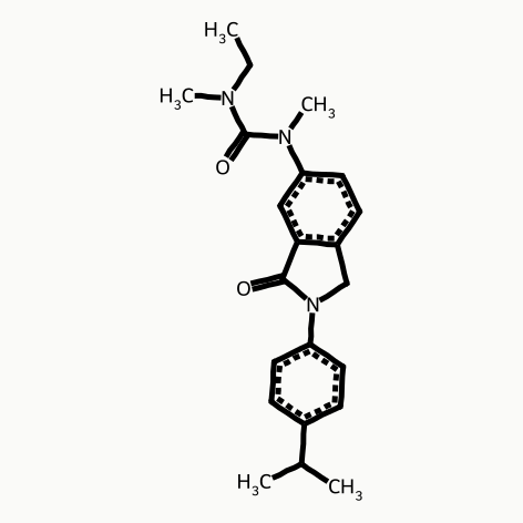 CCN(C)C(=O)N(C)c1ccc2c(c1)C(=O)N(c1ccc(C(C)C)cc1)C2